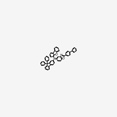 c1ccc(-c2ccc(-c3nc4cc(N(c5ccc6c(c5)C(c5ccccc5)(c5ccccc5)c5ccccc5-6)c5cccc6c5oc5ccccc56)ccc4o3)cc2)cc1